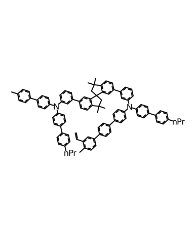 C=Cc1cc(-c2ccc(-c3ccc(N(c4ccc(-c5ccc(CCC)cc5)cc4)c4cccc(-c5ccc6c(c5)C5(CC(C)(C)c7ccc(-c8cccc(N(c9ccc(-c%10ccc(C)cc%10)cc9)c9ccc(-c%10ccc(CCC)cc%10)cc9)c8)cc75)CC6(C)C)c4)cc3)cc2)ccc1C